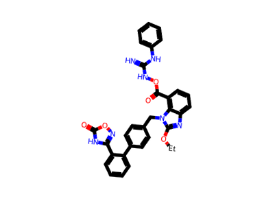 CCOc1nc2cccc(C(=O)ONC(=N)Nc3ccccc3)c2n1Cc1ccc(-c2ccccc2-c2noc(=O)[nH]2)cc1